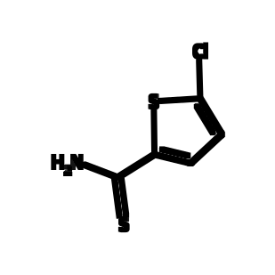 NC(=S)c1ccc(Cl)s1